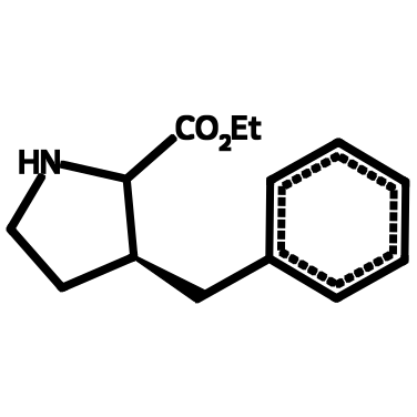 CCOC(=O)C1NCC[C@@H]1Cc1ccccc1